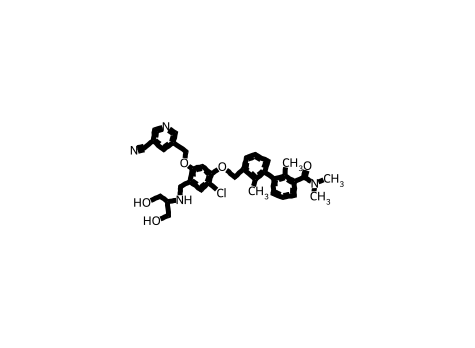 Cc1c(COc2cc(OCc3cncc(C#N)c3)c(CNC(CO)CO)cc2Cl)cccc1-c1cccc(C(=O)N(C)C)c1C